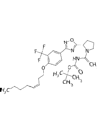 C=C(NC(=O)OC(C)(C)C)N1CCC[C@H]1c1nc(-c2ccc(OCC/C=C\CCCC)c(C(F)(F)F)c2)no1